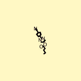 CCCCC(=O)Oc1cnc(-c2ccc(C#N)cc2)nc1